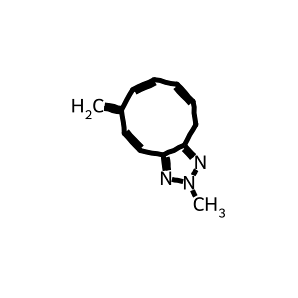 C=C1/C=C\C=C/Cc2nn(C)nc2/C=C\1